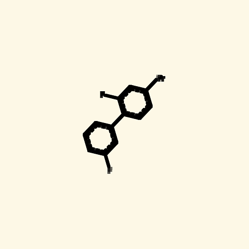 CC(C)c1ccc(-c2cccc(F)c2)c(F)c1